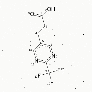 O=C(O)CCc1cnc(C(F)(F)F)nc1